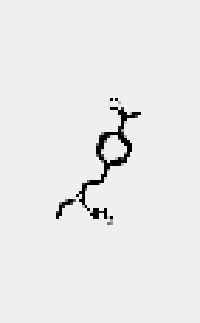 CCN(N)CCc1ccc(C(C)=O)cc1